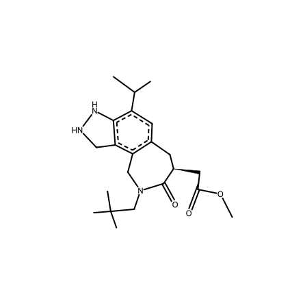 COC(=O)C[C@@H]1Cc2cc(C(C)C)c3c(c2CN(CC(C)(C)C)C1=O)CNN3